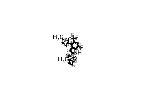 Cn1cnc(-c2c(C(F)(F)F)cc(F)c3[nH]c(S(=O)(=O)C4(C)CCC4)cc23)n1